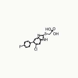 O=P(O)(O)CSc1nc2cc(-c3ccc(F)cc3)c(Cl)cc2[nH]1